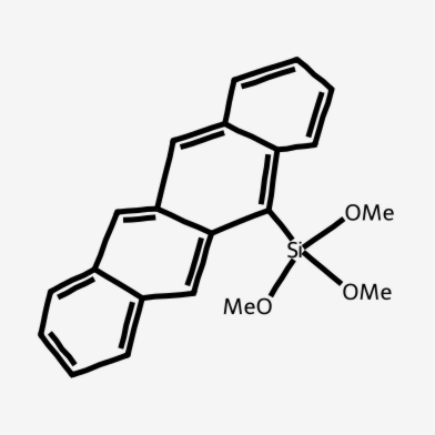 CO[Si](OC)(OC)c1c2ccccc2cc2cc3ccccc3cc12